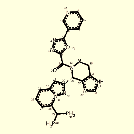 O=C(c1nnc(-c2cccnc2)o1)N1CCc2[nH]cnc2[C@@H]1c1cc2cccc(C(P)P)n2n1